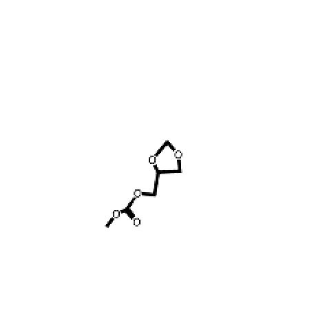 COC(=O)OCC1COCO1